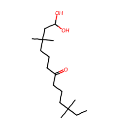 CCC(C)(C)CCCC(=O)CCCC(C)(C)CC(O)O